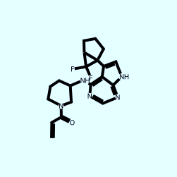 C=CC(=O)N1CCCC(Nc2ncnc3[nH]cc(C45CCCC4C5(F)F)c23)C1